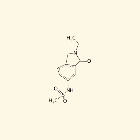 CCN1Cc2ccc(NS(C)(=O)=O)cc2C1=O